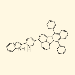 C1=CCCC(C2=c3ccccc3=C(C3=CC=CCC3)C3C4=CC=C(C5=CC=C(C6=CN7C=CC=CC7N6)NC5)C5C=CC=C(C45)C23)=C1